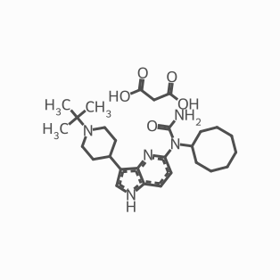 CC(C)(C)N1CCC(c2c[nH]c3ccc(N(C(N)=O)C4CCCCCCC4)nc23)CC1.O=C(O)CC(=O)O